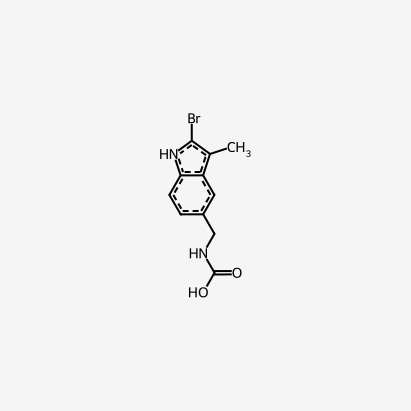 Cc1c(Br)[nH]c2ccc(CNC(=O)O)cc12